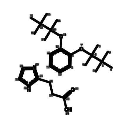 CC(C)(C)[Si](C)(C)Oc1ccccc1O[Si](C)(C)C(C)(C)C.O=C(O)CCc1ncc[nH]1